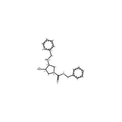 O=C(OCc1ccccc1)N1CC(O)C(NCc2ccccn2)C1